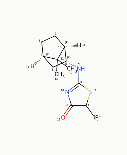 CC(C)C1SC(N[C@@H]2C[C@H]3CC[C@@H]2C3(C)C)=NC1=O